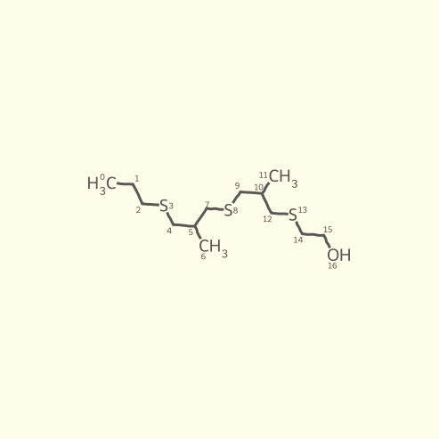 CCCSCC(C)CSCC(C)CSCCO